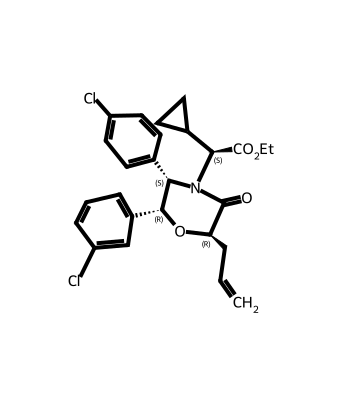 C=CC[C@H]1O[C@H](c2cccc(Cl)c2)[C@H](c2ccc(Cl)cc2)N([C@H](C(=O)OCC)C2CC2)C1=O